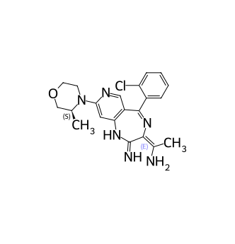 C/C(N)=C1\N=C(c2ccccc2Cl)c2cnc(N3CCOC[C@@H]3C)cc2NC1=N